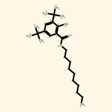 CCCCCCCCCCOC(=O)c1cc(C(C)(C)C)cc(C(C)(C)C)c1O